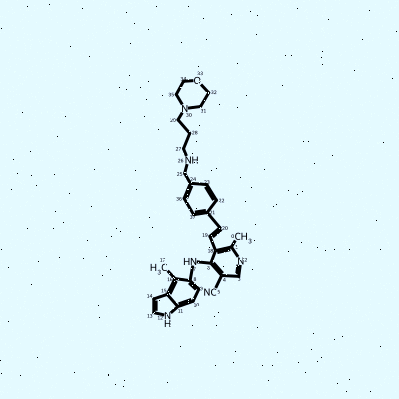 Cc1ncc(C#N)c(Nc2ccc3[nH]ccc3c2C)c1C=Cc1ccc(CNCCCN2CCOCC2)cc1